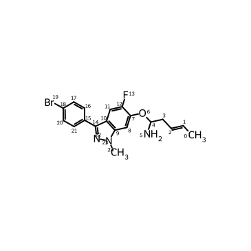 C/C=C/CC(N)Oc1cc2c(cc1F)c(-c1ccc(Br)cc1)nn2C